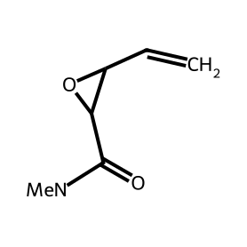 C=CC1OC1C(=O)NC